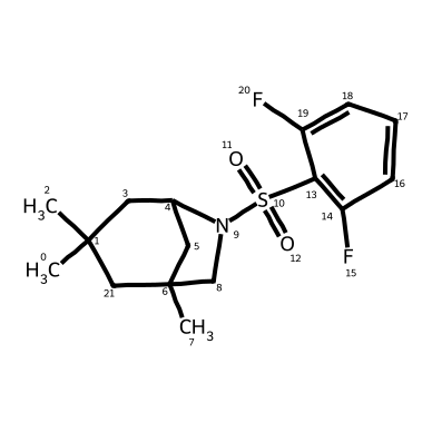 CC1(C)CC2CC(C)(CN2S(=O)(=O)c2c(F)cccc2F)C1